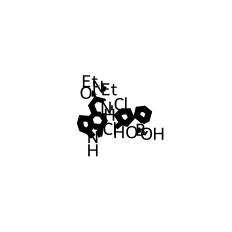 CCN(CC)C(=O)[C@@H]1C=C2c3cccc4[nH]cc(c34)C[C@H]2N(C)C1.Clc1cccc(Cl)c1.OB(O)c1ccccc1